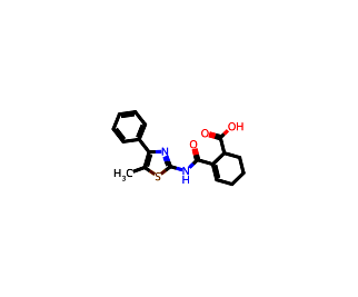 Cc1sc(NC(=O)C2=CCCCC2C(=O)O)nc1-c1ccccc1